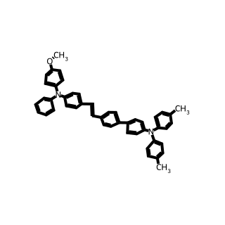 COc1ccc(N(c2ccccc2)c2ccc(/C=C/c3ccc(-c4ccc(N(c5ccc(C)cc5)c5ccc(C)cc5)cc4)cc3)cc2)cc1